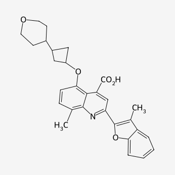 Cc1c(-c2cc(C(=O)O)c3c(OC4CC(C5CCOCC5)C4)ccc(C)c3n2)oc2ccccc12